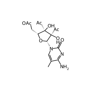 CC(=O)OC[C@H]1O[C@@H](n2cc(C)c(N)nc2=O)[C@@](O)(C(C)=O)[C@@]1(O)C(C)=O